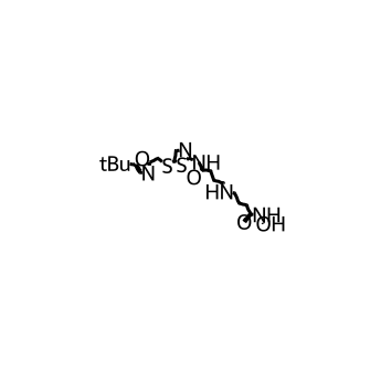 CC(C)(C)c1cnc(CSC2CN=C(NC(=O)CCCNCCCC(=O)NO)S2)o1